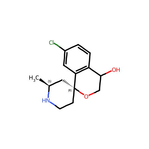 C[C@H]1C[C@@]2(CCN1)OCC(O)c1ccc(Cl)cc12